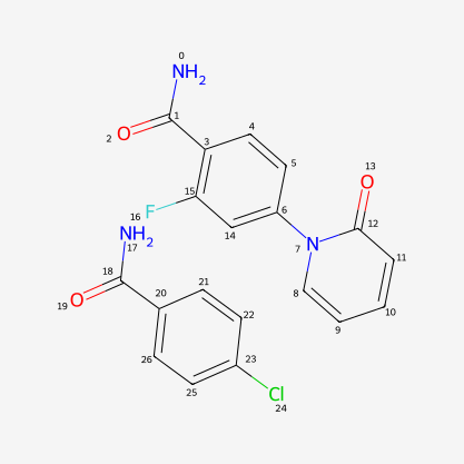 NC(=O)c1ccc(-n2ccccc2=O)cc1F.NC(=O)c1ccc(Cl)cc1